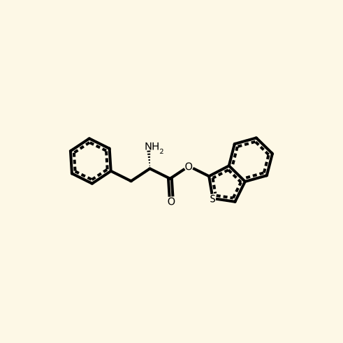 N[C@@H](Cc1ccccc1)C(=O)Oc1scc2ccccc12